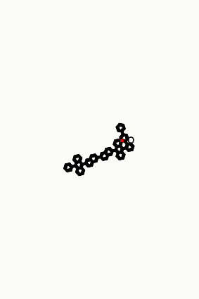 c1ccc(-c2ccc3c(c2)oc2cccc(-c4c5ccccc5c(-c5ccc6cc(-c7ccc8cc(-c9c%10ccccc%10c(-c%10ccccc%10)c%10ccccc9%10)ccc8c7)ccc6c5)c5ccccc45)c23)cc1